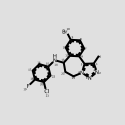 Cc1nnn2c1-c1ccc(Br)cc1C(Nc1ccc(F)c(Cl)c1)CC2